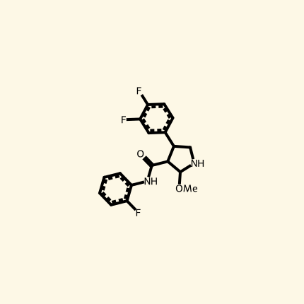 COC1NCC(c2ccc(F)c(F)c2)C1C(=O)Nc1ccccc1F